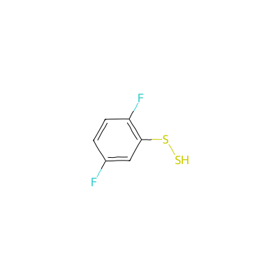 Fc1ccc(F)c(SS)c1